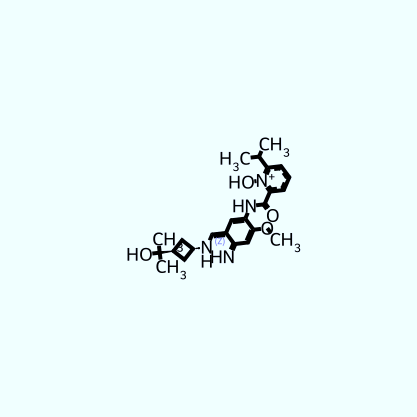 COC1=CC(=N)/C(=C\N[C@H]2C[C@H](C(C)(C)O)C2)C=C1NC(=O)c1cccc(C(C)C)[n+]1O